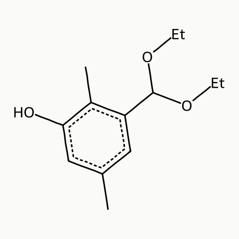 CCOC(OCC)c1cc(C)cc(O)c1C